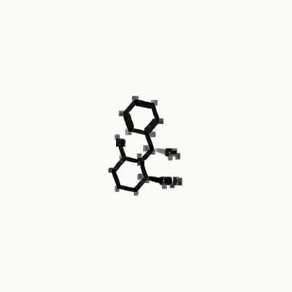 CCOC(=O)[C@H]1CCCC(CC)N1[C@@H](C)c1ccccc1